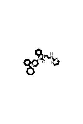 O=c1n(CCNc2ncccn2)c2ccccc2n1C1CCN(C2(c3ccccc3)CCCCCC2)CC1